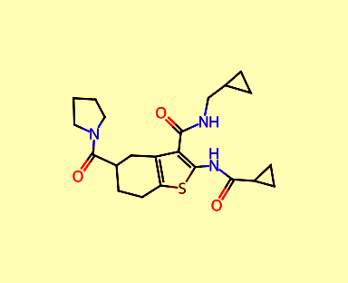 O=C(NCC1CC1)c1c(NC(=O)C2CC2)sc2c1CC(C(=O)N1CCCC1)CC2